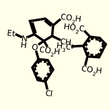 CCNC1=CC=C(C(=O)O)C(C)C1(Oc1ccc(Cl)cc1)C(=O)O.Cc1c(C(=O)O)cccc1C(=O)O